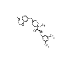 CC(C)CC1(C(=O)NCc2cc(C(F)(F)F)cc(C(F)(F)F)c2)CCN(Cc2ccc3c(c2)OCCN3C)CC1